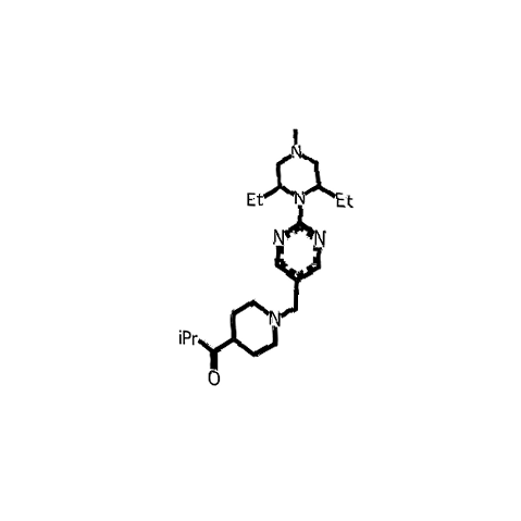 CCC1CN(C)CC(CC)N1c1ncc(CN2CCC(C(=O)C(C)C)CC2)cn1